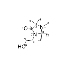 CN1C(C)(C)C(=O)N(CCO)C1(C)C